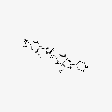 Cc1nc(N2CCNCC2)nc2ccc(NC(=O)COc3ccc(OC(F)(F)F)cc3Cl)nc12